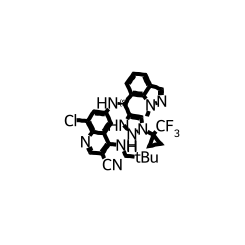 Cn1ncc2cccc([C@H](Nc3cc(Cl)c4ncc(C#N)c(NCC(C)(C)C)c4c3)C3=CN(C4(C(F)(F)F)CC4)NN3)c21